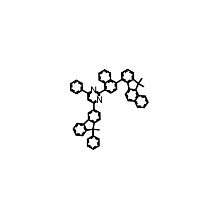 CC1(C)c2cccc(-c3ccc(-c4nc(-c5ccccc5)cc(-c5ccc6c(c5)-c5ccccc5C6(C)c5ccccc5)n4)c4ccccc34)c2-c2ccc3ccccc3c21